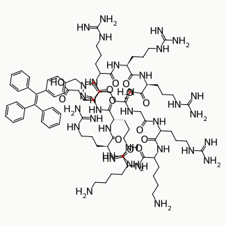 N=C(N)NCCCC(NC(=O)CNC(=O)CCc1cn(Cc2ccc(C(=C(c3ccccc3)c3ccccc3)c3ccccc3)cc2)nn1)C(=O)NC(CCCCN)C(=O)NC(CCCCN)C(=O)N[C@@H](CCCNC(=N)N)C(=O)N[C@@H](CCCNC(=N)N)C(=O)N[C@@H](CCC(=O)O)C(=O)NC(CCCNC(=N)N)C(=O)N[C@@H](CCCNC(=N)N)C(=O)N[C@@H](CCCNC(=N)N)C(N)=O